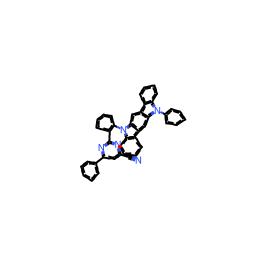 N#Cc1cc(-c2ccccc2)nc(-c2ccccc2-n2c3ccccc3c3cc4c(cc32)c2ccccc2n4-c2ccccc2)n1